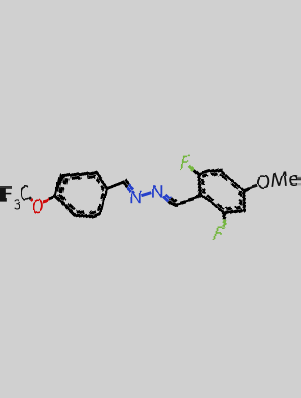 COc1cc(F)c(C=NN=Cc2ccc(OC(F)(F)F)cc2)c(F)c1